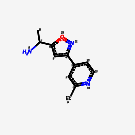 CCc1cc(-c2cc(C(C)N)on2)ccn1